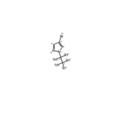 [2H]C([2H])([2H])C([2H])([2H])n1cc(Br)cn1